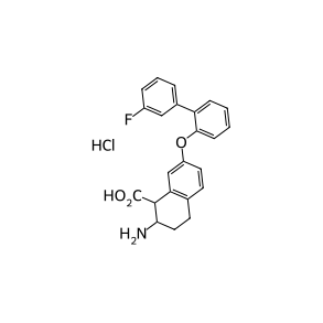 Cl.NC1CCc2ccc(Oc3ccccc3-c3cccc(F)c3)cc2C1C(=O)O